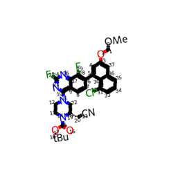 COCOc1cc(-c2ccc3c(N4CCN(C(=O)OC(C)(C)C)[C@@H](CC#N)C4)nc(F)nc3c2F)c2c(Cl)cccc2c1